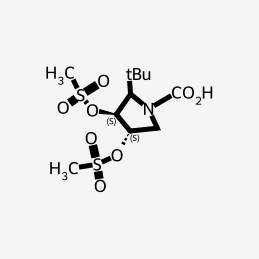 CC(C)(C)C1[C@H](OS(C)(=O)=O)[C@@H](OS(C)(=O)=O)CN1C(=O)O